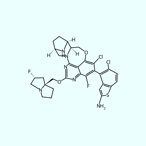 Nc1cc2c(-c3c(Cl)c4c5c(nc(OC[C@@]67CCCN6C[C@H](F)C7)nc5c3F)N3C[C@H]5CC[C@H](N5)[C@H]3CO4)c(Cl)ccc2s1